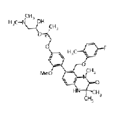 COc1cc(OC[C@@H](C)OC(O)CN(C)C)ccc1-c1ccc2c(c1COc1cc(F)ccc1C)N(C)C(=O)C(C)(C)N2